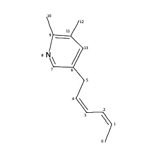 C/C=C\C=C/Cc1cnc(C)c(C)c1